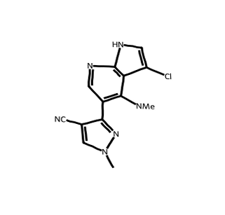 CNc1c(-c2nn(C)cc2C#N)cnc2[nH]cc(Cl)c12